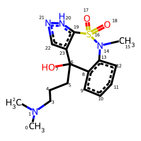 CN(C)CCCC1(O)c2ccccc2N(C)S(=O)(=O)c2[nH]ncc21